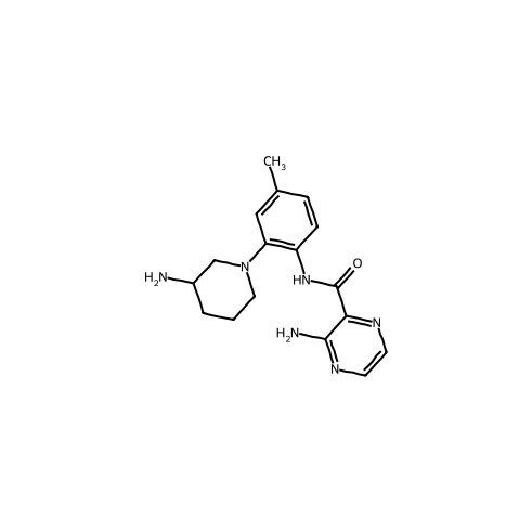 Cc1ccc(NC(=O)c2nccnc2N)c(N2CCCC(N)C2)c1